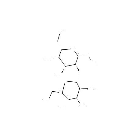 CC(=O)OC[C@@H]1O[C@H](OP)[C@@H](O[C@H]2O[C@H](COC(C)=O)[C@@H](OC(C)=O)[C@H](OC(C)=O)[C@@H]2OC(C)=O)[C@@H](OC(C)=O)[C@@H]1O